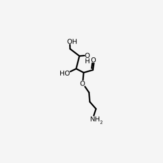 NCCCOC(C=O)C(O)C(O)CO